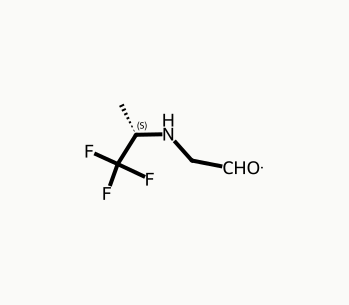 C[C@H](NC[C]=O)C(F)(F)F